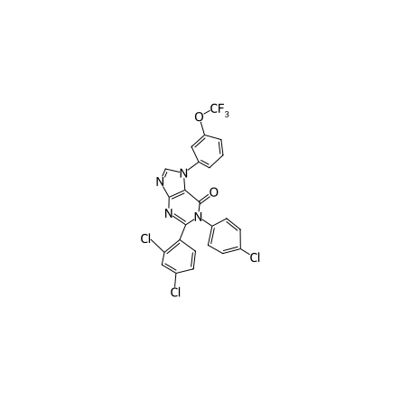 O=c1c2c(ncn2-c2cccc(OC(F)(F)F)c2)nc(-c2ccc(Cl)cc2Cl)n1-c1ccc(Cl)cc1